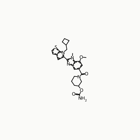 COc1cc(C(=O)N2CCCC(OC(N)=O)C2)cc2nc(-c3cc4ccsc4n3CC3CCC3)n(C)c12